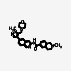 CN1CCc2cc(C(=O)Nc3cc4cc(-c5cnn(C)c5CN5CCOCC5)ccc4cn3)ccc2C1